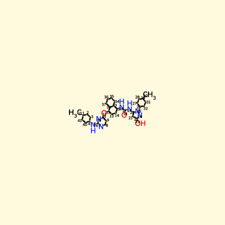 Cc1ccc(Nc2nccc(Oc3ccc(NC(=O)Nc4cc(O)nn4-c4ccc(C)cc4)c4ccccc34)n2)cc1